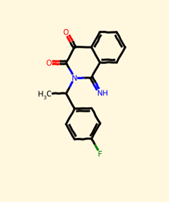 CC(c1ccc(F)cc1)N1C(=N)c2ccccc2C(=O)C1=O